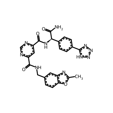 Cc1nc2cc(CNC(=O)c3cc(C(=O)N[C@@H](C(N)=O)c4ccc(-c5nnn[nH]5)cc4)ncn3)ccc2o1